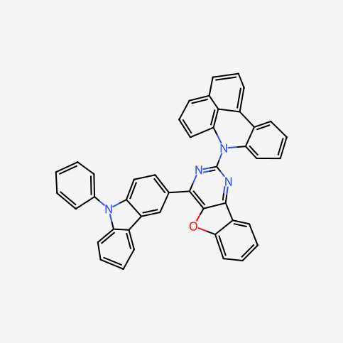 c1ccc(-n2c3ccccc3c3cc(-c4nc(N5c6ccccc6-c6cccc7cccc5c67)nc5c4oc4ccccc45)ccc32)cc1